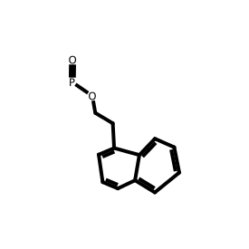 O=POCCc1cccc2ccccc12